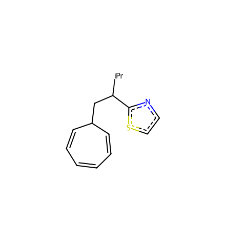 CC(C)C(CC1C=CC=CC=C1)c1nccs1